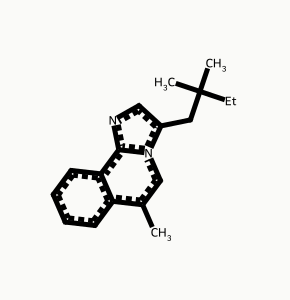 CCC(C)(C)Cc1cnc2c3ccccc3c(C)cn12